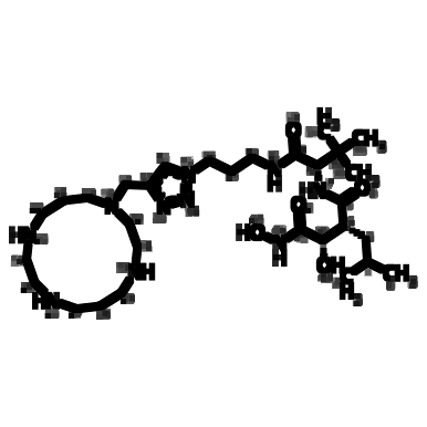 CC(C)C[C@@H](C(=O)N[C@H](C(=O)NCCCn1cc(CN2CCCNCCNCCCNCC2)nn1)C(C)(C)C)[C@H](O)C(=O)NO